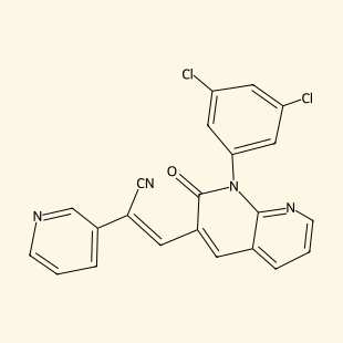 N#CC(=Cc1cc2cccnc2n(-c2cc(Cl)cc(Cl)c2)c1=O)c1cccnc1